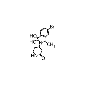 CC1c2cc(Br)ccc2S(O)(O)N1C1CCNC(=O)C1